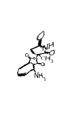 CC1(N2C(=O)c3cccc(N)c3C2=O)C=CC(=O)NC1=O